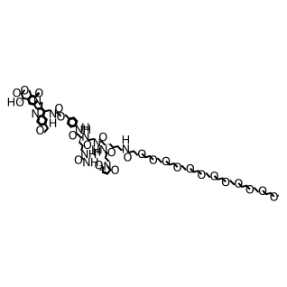 COCCOCCOCCOCCOCCOCCOCCOCCOCCOCCOCCOCCC(=O)NCCCC[C@H](NC(=O)CCN1C(=O)C=CC1=O)C(=O)NCC(=O)N[C@@H](CCCNC(N)=O)C(=O)Nc1ccc(COC(=O)NCc2c3c(nc4cc5c(cc24)CCO5)-c2cc4c(c(=O)n2C3)COC(=O)[C@H]4O)cc1